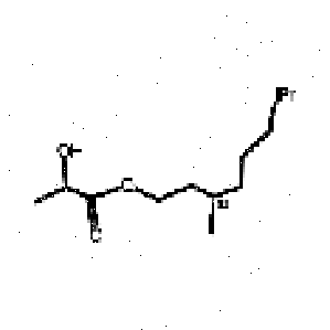 CC(C)CCC[C@@H](C)CCOC(=O)C(C)O